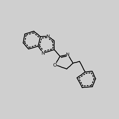 c1ccc(CC2COC(c3cnc4ccccc4n3)=N2)cc1